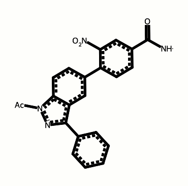 CC(=O)n1nc(-c2ccccc2)c2cc(-c3ccc(C([NH])=O)cc3[N+](=O)[O-])ccc21